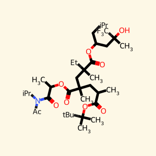 CCC(C)(CC(C)(CC(C)C(=O)OC(C)(C)C(C)(C)C)C(=O)OC(C)C(=O)N(C(C)=O)C(C)C)C(=O)OC(CC(C)C)CC(C)(O)C(F)(F)F